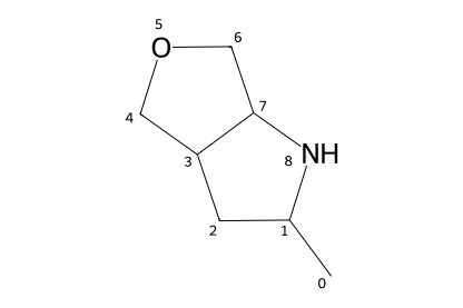 CC1CC2COCC2N1